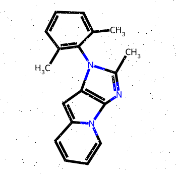 Cc1cccc(C)c1-n1c(C)nc2c1cc1ccccn12